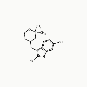 CC1(C)CC(Cn2c(C(C)(C)C)nc3cc(S)ccc32)CCO1